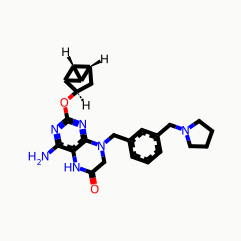 Nc1nc(O[C@@H]2C[C@@H]3C4C2[C@@H]43)nc2c1NC(=O)CN2Cc1cccc(CN2CCCC2)c1